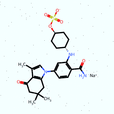 Cc1cn(-c2ccc(C(N)=O)c(N[C@H]3CC[C@H](OS(=O)(=O)[O-])CC3)c2)c2c1C(=O)CC(C)(C)C2.[Na+]